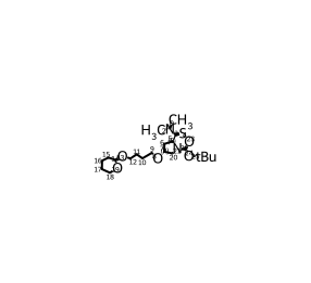 CN(C)C(=S)[C@@H]1C[C@@H](OCCCCOC2CCCCO2)CN1C(=O)OC(C)(C)C